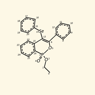 CCOP1(=O)OC(c2ccccc2)=C([Se]c2ccccc2)c2ccccc21